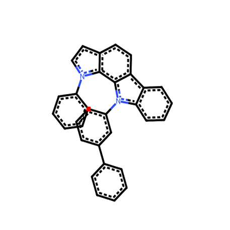 c1ccc(-c2cccc(-n3c4ccccc4c4ccc5ccn(-c6ccccc6)c5c43)c2)cc1